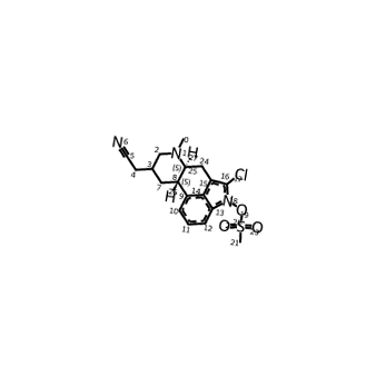 CN1CC(CC#N)C[C@H]2c3cccc4c3c(c(Cl)n4OS(C)(=O)=O)C[C@@H]21